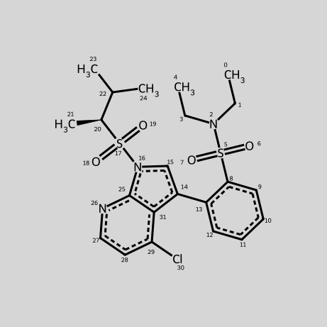 CCN(CC)S(=O)(=O)c1ccccc1-c1cn(S(=O)(=O)[C@@H](C)C(C)C)c2nccc(Cl)c12